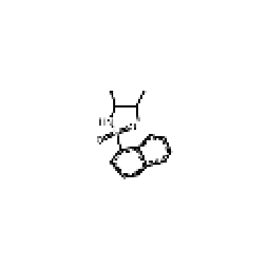 CC(C)C(C)NS(=O)(=O)c1cccc2ccccc12